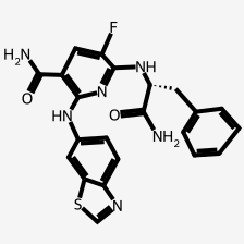 NC(=O)c1cc(F)c(N[C@H](Cc2ccccc2)C(N)=O)nc1Nc1ccc2ncsc2c1